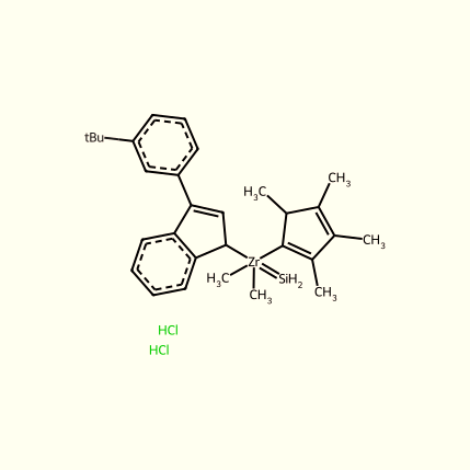 CC1=C(C)C(C)[C]([Zr]([CH3])([CH3])(=[SiH2])[CH]2C=C(c3cccc(C(C)(C)C)c3)c3ccccc32)=C1C.Cl.Cl